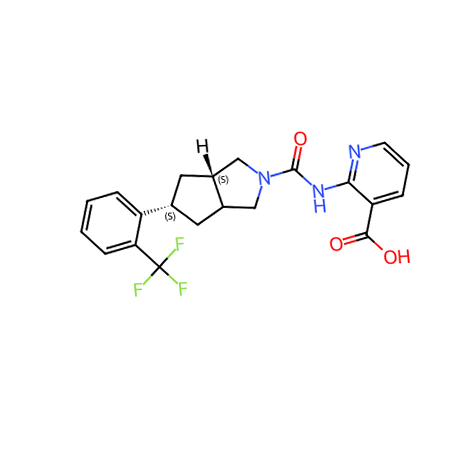 O=C(O)c1cccnc1NC(=O)N1CC2C[C@H](c3ccccc3C(F)(F)F)C[C@@H]2C1